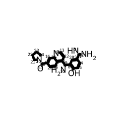 N=C(N)c1ccc(O)c(C(N)c2ccnc3cc(C(=O)N4CCCC4)ccc23)c1